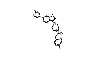 Cc1ccc(CC(=O)N2CCN(c3cnn4cc(-c5cnn(C)c5)ccc34)CC2)nc1